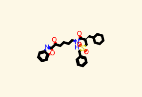 O=C(CCCCNC(=O)[C@@H](CC1CCCCC1)CS(=O)(=O)Cc1ccccc1)c1nc2ccccc2o1